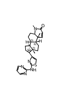 CN1C(=O)C=C[C@@]2(C)C1CC[C@@H]1[C@H]2CC[C@]2(C)C(c3csc(Nc4ncccn4)n3)CC[C@@H]12